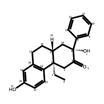 CC[C@@]12CC(=O)[C@](O)(c3ccccc3)C[C@H]1CCc1cc(O)ccc12